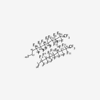 C=CC(F)(F)C(F)(F)C(F)(F)C(F)(F)C(F)(F)C(F)(F)C(F)(F)C(F)(F)F.FC(F)(F)C(F)(F)C(F)(F)C(F)(F)C(F)(F)C(F)(F)C(F)(F)C(F)(F)CCI